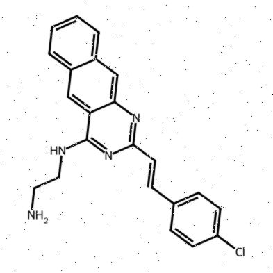 NCCNc1nc(/C=C/c2ccc(Cl)cc2)nc2cc3ccccc3cc12